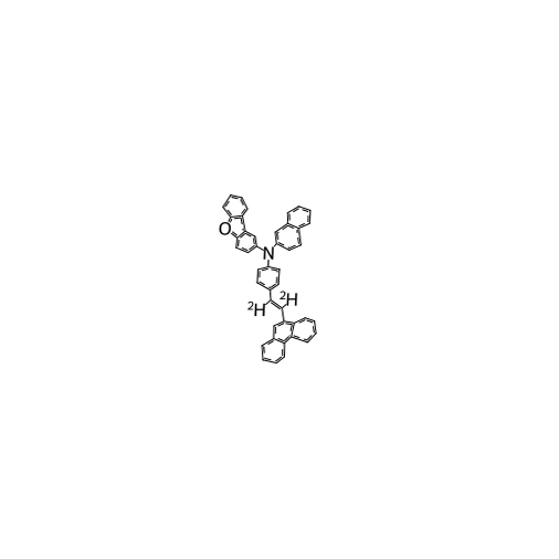 [2H]/C(=C(/[2H])c1cc2ccccc2c2ccccc12)c1ccc(N(c2ccc3ccccc3c2)c2ccc3oc4ccccc4c3c2)cc1